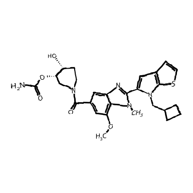 COc1cc(C(=O)N2CC[C@@H](O)[C@@H](OC(N)=O)C2)cc2nc(-c3cc4ccsc4n3CC3CCC3)n(C)c12